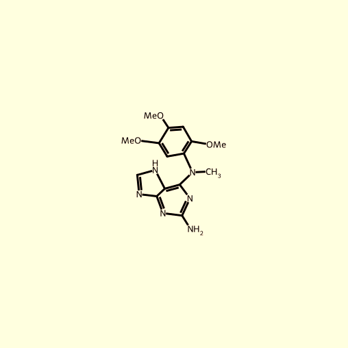 COc1cc(OC)c(N(C)c2nc(N)nc3nc[nH]c23)cc1OC